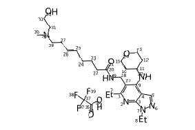 CCc1nc2c(cnn2CC)c(NC2CCOCC2)c1CNC(=O)CCCCCCCN(C)CCO.O=C(O)C(F)(F)F